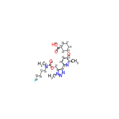 Cc1nc(-c2nnn(C)c2COC(=O)N(C)CCCCF)ccc1OC1CCC[C@H](C(=O)O)C1